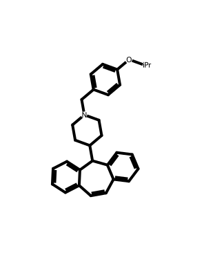 CC(C)Oc1ccc(CN2CCC(C3c4ccccc4C=Cc4ccccc43)CC2)cc1